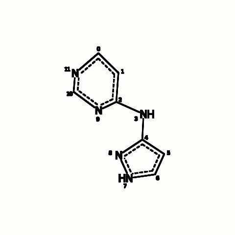 c1cc(Nc2cc[nH]n2)ncn1